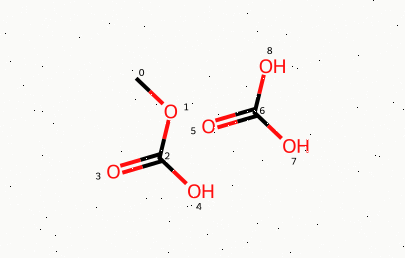 COC(=O)O.O=C(O)O